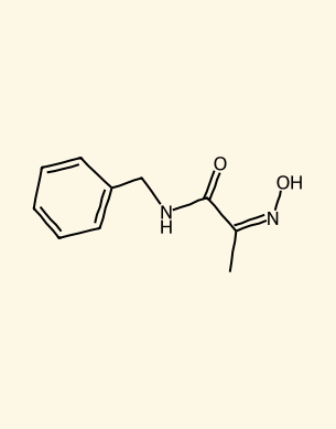 C/C(=N/O)C(=O)NCc1ccccc1